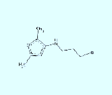 Cc1cc(NCCCBr)c(C)o1